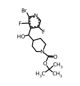 CC(C)(C)OC(=O)N1CCC(C(O)c2c(F)cnc(Br)c2F)CC1